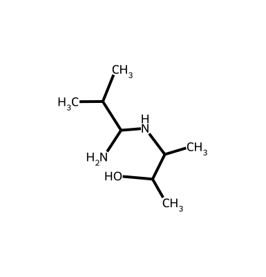 CC(C)C(N)NC(C)C(C)O